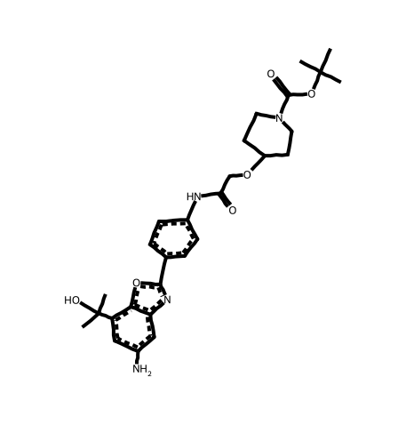 CC(C)(C)OC(=O)N1CCC(OCC(=O)Nc2ccc(-c3nc4cc(N)cc(C(C)(C)O)c4o3)cc2)CC1